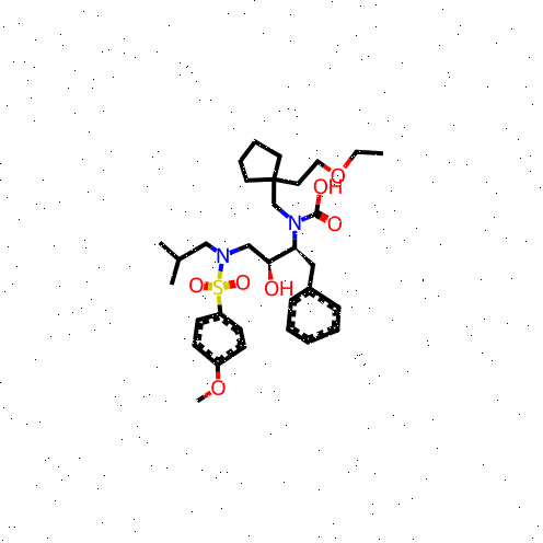 CCOCCC1(CN(C(=O)O)[C@@H](Cc2ccccc2)[C@@H](O)CN(CC(C)C)S(=O)(=O)c2ccc(OC)cc2)CCCC1